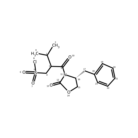 CC(C)C(CS(=O)(=O)Cl)C(=O)N1C(=O)OC[C@H]1Cc1ccccc1